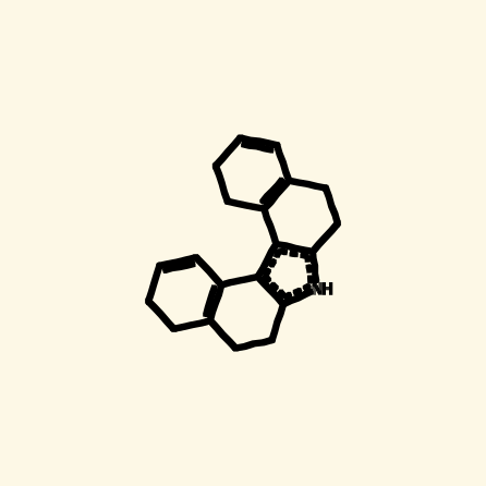 C1=CC2=C(CC1)CCc1[nH]c3c(c12)C1=C(C=CCC1)CC3